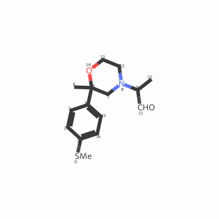 CSc1ccc(C2(C)CN(C(C)C=O)CCO2)cc1